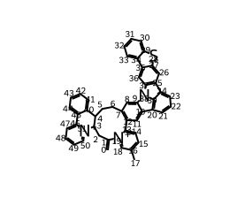 C=C1CC2C(CCc3cc4c(cc3-c3ccc(C)c[n+]31)c1cccc3c5cc6sc7ccccc7c6cc5n4c13)c1ccccc1-c1cccc[n+]12